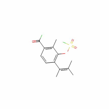 CC(C)=C(C)c1ccc(C(=O)Cl)c(C)c1OS(=O)(=O)Cl